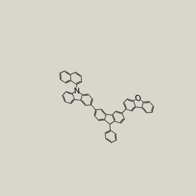 c1ccc(C2c3ccc(-c4ccc5oc6ccccc6c5c4)cc3-c3cc(-c4ccc5c(c4)c4ccccc4n5-c4cccc5ccccc45)ccc32)cc1